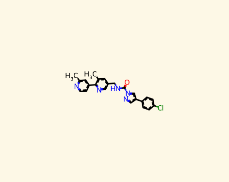 Cc1cc(-c2ncc(CNC(=O)n3cc(-c4ccc(Cl)cc4)cn3)cc2C)ccn1